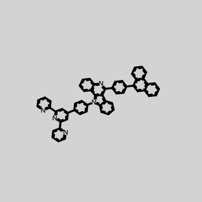 c1ccc(-c2cc(-c3ccc(-n4c5ccccc5c5c(-c6ccc(-c7cc8ccccc8c8ccccc78)cc6)nc6ccccc6c54)cc3)cc(-c3ccccn3)n2)nc1